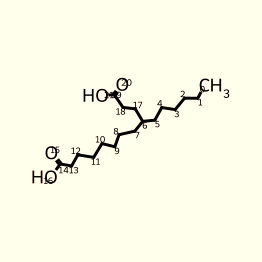 CCCCCCC(CCCCCCCC(=O)O)CCC(=O)O